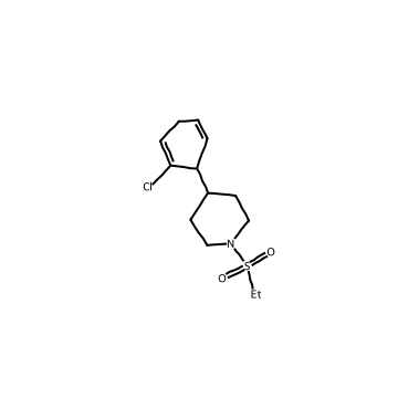 CCS(=O)(=O)N1CCC(C2C=CCC=C2Cl)CC1